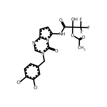 CC(=O)OC(O)(C(=O)Nc1ccc2ncn(Cc3ccc(Cl)c(Cl)c3)c(=O)n12)C(F)(F)F